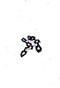 C\C=C(/C=C\C=C\c1ccccc1)n1c2ccccc2c2ccc3c(c21)B(c1cccc2c4ccccc4n(-c4ccccc4)c12)c1ccccc1-3